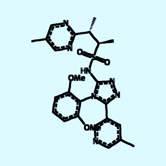 COc1cccc(OC)c1-n1c(NS(=O)(=O)[C@H](C)[C@@H](C)c2ncc(C)cn2)nnc1-c1cncc(C)c1